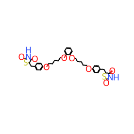 O=C1NC(=O)C(Cc2ccc(OCCCCCOc3ccccc3OCCCCCOc3ccc(CC4SC(=O)NC4=O)cc3)cc2)S1